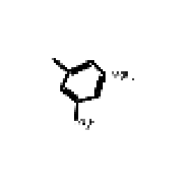 Cc1cccc(C(=O)O)c1.[MgH2]